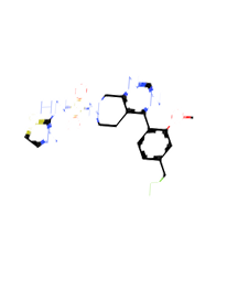 COc1cc(CF)ccc1-c1ncnc2c1CCN(S(=O)(=O)Nc1nccs1)C2